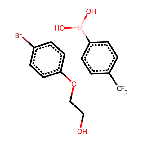 OB(O)c1ccc(C(F)(F)F)cc1.OCCOc1ccc(Br)cc1